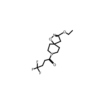 CCOC1=NOC2(CCN(C(=O)CCC(F)(F)F)CC2)C1